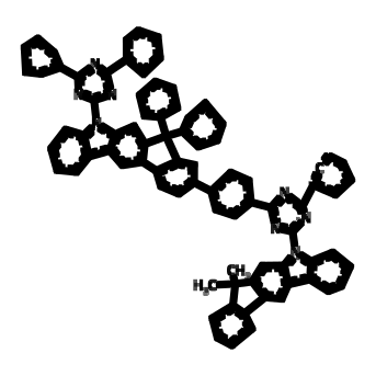 CC1(C)c2ccccc2-c2cc3c4ccccc4n(-c4nc(-c5ccccc5)nc(-c5ccc(-c6ccc7c(c6)C(c6ccccc6)(c6ccccc6)c6cc8c(cc6-7)c6ccccc6n8-c6nc(-c7ccccc7)nc(-c7ccccc7)n6)cc5)n4)c3cc21